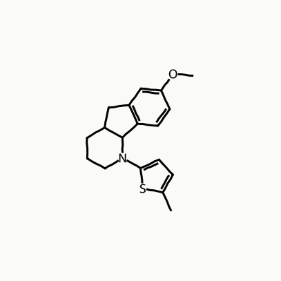 COc1ccc2c(c1)CC1CCCN(c3ccc(C)s3)C21